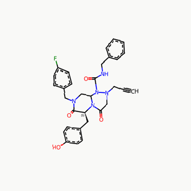 C#CCN1CC(=O)N2C(CN(Cc3ccc(F)cc3)C(=O)[C@@H]2Cc2ccc(O)cc2)N1C(=O)NCc1ccccc1